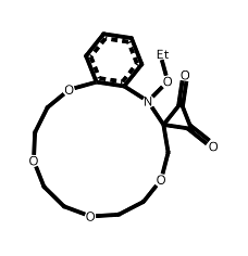 CCON1c2ccccc2OCCOCCOCCOCC12C(=O)C2=O